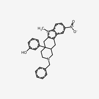 Cn1c2c(c3cc([N+](=O)[O-])ccc31)CC1CN(Cc3ccccc3)CCC1(c1cccc(O)c1)C2